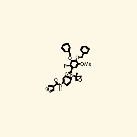 COc1cc(-c2nc3cc(NC(=O)c4cnoc4)ccc3n2C2(C)COC2)c(F)c(OCc2ccccc2)c1OCc1ccccc1